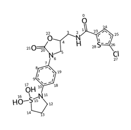 O=C(NCC1CN(c2ccc(N3CCCS3(O)O)cc2)C(=O)O1)c1ccc(Cl)s1